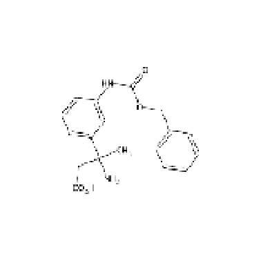 CC(N)(CC(=O)O)c1cccc(NC(=O)OCc2ccccc2)c1